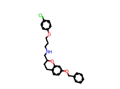 Clc1ccc(OCCCNCC2CCc3ccc(OCc4ccccc4)cc3O2)cc1